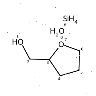 O.OCC1CCCO1.[SiH4]